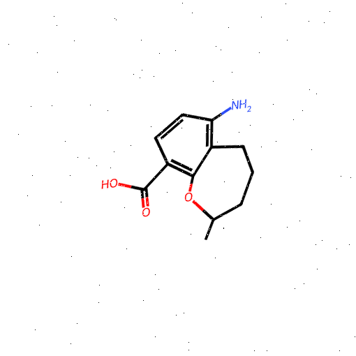 CC1CCCc2c(N)ccc(C(=O)O)c2O1